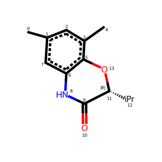 Cc1cc(C)c2c(c1)NC(=O)[C@@H](C(C)C)O2